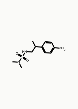 CC(CNS(=O)(=O)N(C)C)c1ccc(N)cc1